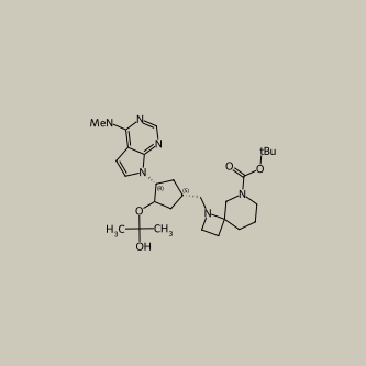 CNc1ncnc2c1ccn2[C@@H]1C[C@H](CN2CCC23CCCN(C(=O)OC(C)(C)C)C3)CC1OC(C)(C)O